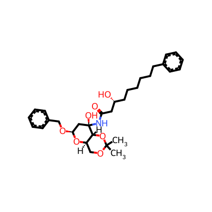 CC1(C)OC[C@H]2O[C@@H](OCc3ccccc3)C[C@](O)(NC(=O)C[C@H](O)CCCCCCc3ccccc3)[C@@H]2O1